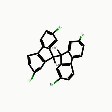 COC1(C2(C=O)c3cc(Br)ccc3-c3ccc(Br)cc32)c2cc(Br)ccc2-c2ccc(Br)cc21